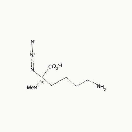 CN[C@](CCCCN)(N=[N+]=[N-])C(=O)O